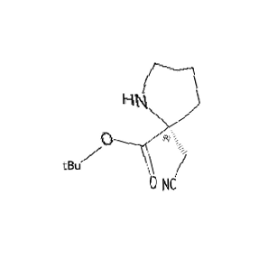 CC(C)(C)OC(=O)[C@]1(CC#N)CCCN1